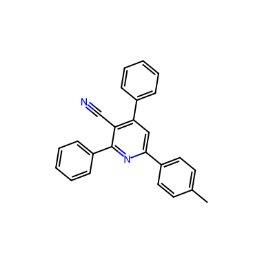 Cc1ccc(-c2cc(-c3ccccc3)c(C#N)c(-c3ccccc3)n2)cc1